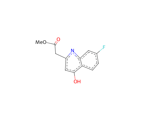 COC(=O)Cc1cc(O)c2ccc(F)cc2n1